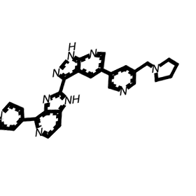 c1cc(-c2nccc3[nH]c(-c4n[nH]c5ncc(-c6cncc(CN7CCCC7)c6)cc45)nc23)ccn1